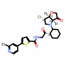 CCc1cc(-c2ccc(C(=O)NCC(=O)[C@H]3CCCCC3N3C[C@H](Cl)[C@H]4OCC(=O)[C@H]43)s2)ccn1